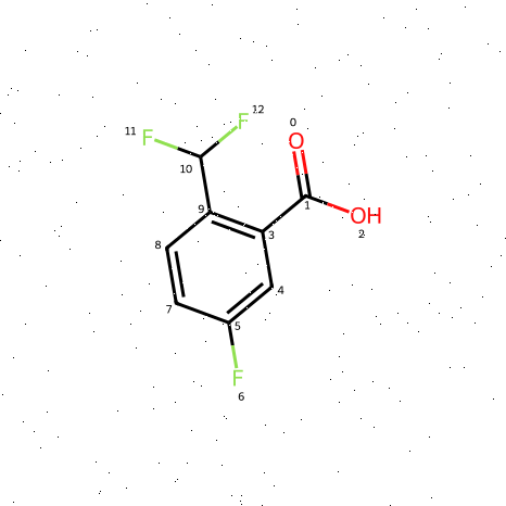 O=C(O)c1cc(F)ccc1C(F)F